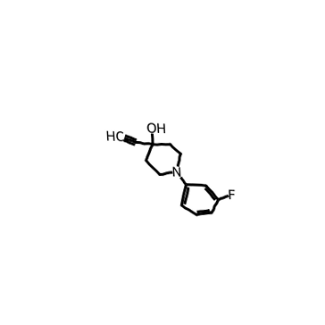 C#CC1(O)CCN(c2cccc(F)c2)CC1